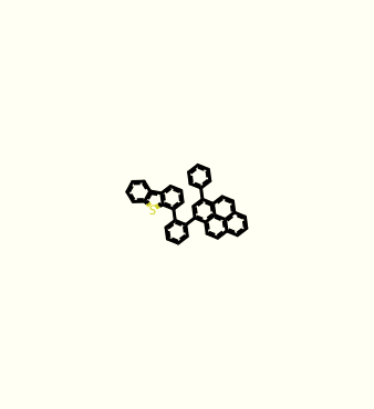 c1ccc(-c2cc(-c3ccccc3-c3cccc4c3sc3ccccc34)c3ccc4cccc5ccc2c3c54)cc1